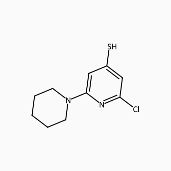 Sc1cc(Cl)nc(N2CCCCC2)c1